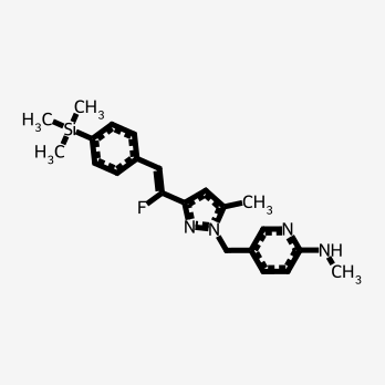 CNc1ccc(Cn2nc(C(F)=Cc3ccc([Si](C)(C)C)cc3)cc2C)cn1